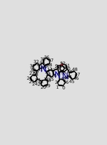 c1ccc(-n2c3ccccc3c3cc4c(cc32)c2ccccc2c2ccccc2c2cccc3c5ccccc5n4c23)c(-n2c3ccccc3c3ccccc32)c1